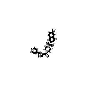 O=C(c1cnc(-c2ccncc2)s1)N1CCN(S(=O)(=O)c2ccc3cc(Br)ccc3c2)CC1